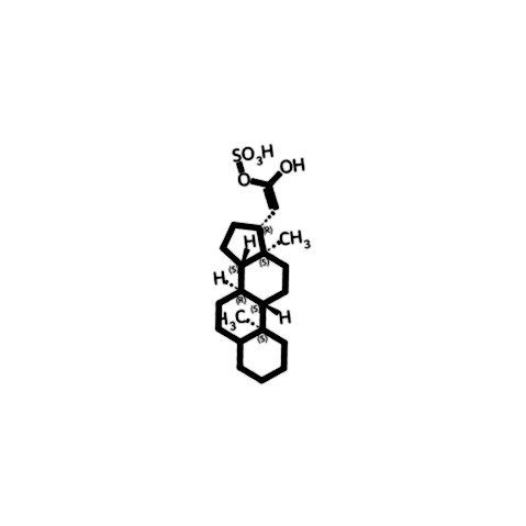 C[C@]12CC[C@H]3[C@@H](CCC4CCCC[C@@]43C)[C@@H]1CC[C@@H]2C=C(O)OS(=O)(=O)O